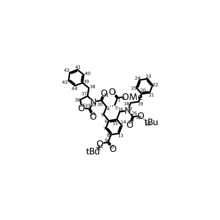 COC(=O)C[C@H](Cc1cc(C(=O)OC(C)(C)C)ccc1CN(CCc1ccccc1)C(=O)OC(C)(C)C)C(=O)N1C(=O)OCC1Cc1ccccc1